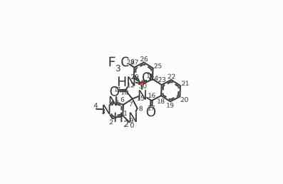 Cc1cn(C)nc1C1(CN)C(=O)NC(=O)N1C(=O)c1ccccc1-c1ccc(C(F)(F)F)cc1